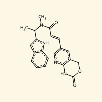 CC(c1cc2ccccc2[nH]1)N(C)C(=O)/C=C/c1cnc2c(c1)COC(=O)N2